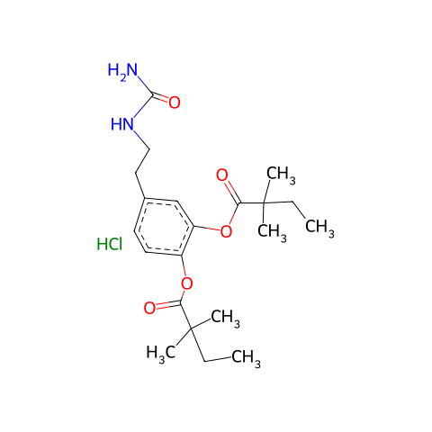 CCC(C)(C)C(=O)Oc1ccc(CCNC(N)=O)cc1OC(=O)C(C)(C)CC.Cl